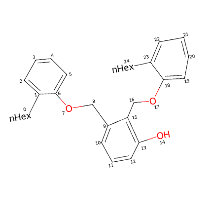 CCCCCCc1ccccc1OCc1cccc(O)c1COc1ccccc1CCCCCC